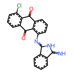 N=C1NC(=Nc2cccc3c2C(=O)c2cccc(Cl)c2C3=O)c2ccccc21